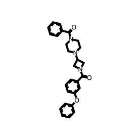 O=C(c1ccccc1)N1CCN(C2CN(C(=O)c3cccc(Oc4ccccc4)c3)C2)CC1